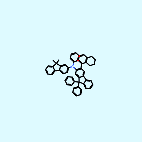 Cc1ccc2c(c1-c1cc3c(cc1N(c1ccccc1)c1ccc4c(c1)C(C)(C)c1ccccc1-4)C(c1ccccc1)(c1ccccc1)c1ccccc1-3)CCCC2